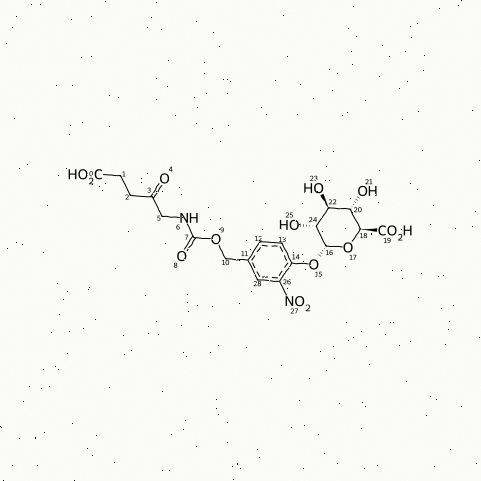 O=C(O)CCC(=O)CNC(=O)OCc1ccc(O[C@H]2O[C@H](C(=O)O)[C@@H](O)[C@H](O)[C@H]2O)c([N+](=O)[O-])c1